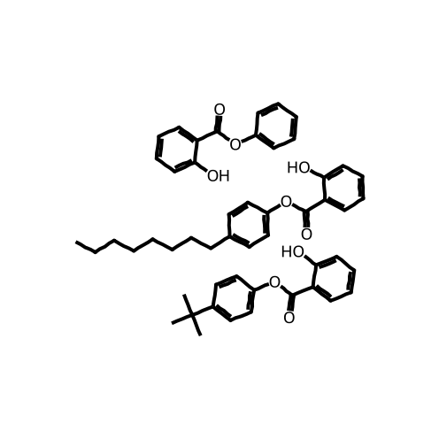 CC(C)(C)c1ccc(OC(=O)c2ccccc2O)cc1.CCCCCCCCc1ccc(OC(=O)c2ccccc2O)cc1.O=C(Oc1ccccc1)c1ccccc1O